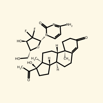 CC(=O)[C@@]1(O)CC[C@H]2[C@@H]3CCC4=CC(=O)CC[C@]4(C)[C@H]3CC[C@@]21C.Nc1ccn([C@@H]2O[C@H](CO)[C@@H](O)C2(F)F)c(=O)n1